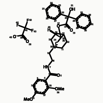 COc1ccc(C(=O)NCC[N+]23CCC(CC2)[C@@H](OC(=O)C(O)(c2ccccc2)c2ccccc2)C3)c(OC)c1.O=C([O-])C(F)(F)F